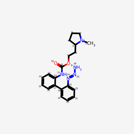 CN1CCCC1CCOC(=O)Nc1ccccc1-c1ccccc1N=NN